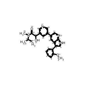 COc1ccccc1-c1c[nH]c2ncc(-c3cncc(C(O)C(=O)N(C)C(C)C)c3)cc12